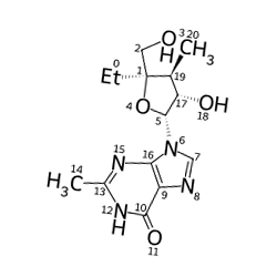 CC[C@@]1(CO)O[C@@H](n2cnc3c(=O)[nH]c(C)nc32)[C@@H](O)[C@@H]1C